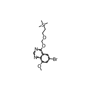 COc1cc(Br)cc2c(OCOCC[Si](C)(C)C)ncnc12